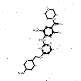 CNC1CCC(COc2ccnc(Nc3cc(F)c(C(=O)N4CCOCC4)cc3OC)n2)CC1